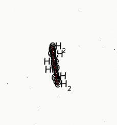 C=CC(=O)OCCOC(=O)NCCCCCCNC(=O)OCCCOC(=O)NCCCCCCNC(=O)OCCOC(=O)C=C